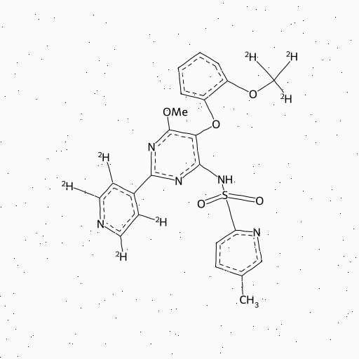 [2H]c1nc([2H])c([2H])c(-c2nc(NS(=O)(=O)c3ccc(C)cn3)c(Oc3ccccc3OC([2H])([2H])[2H])c(OC)n2)c1[2H]